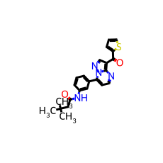 CC(C)(C)CC(=O)Nc1cccc(-c2ccnc3c(C(=O)c4cccs4)cnn23)c1